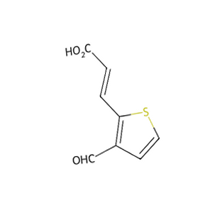 O=Cc1ccsc1C=CC(=O)O